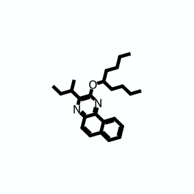 CCCCC(CCCC)Oc1nc2c(ccc3ccccc32)nc1C(C)CC